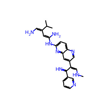 CN/C=C(\C(=N)c1cccnc1)c1cnc2ccc(N/C(N)=C/C(=C\N)C(C)C)nc2c1